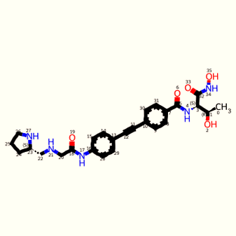 C[C@@H](O)[C@H](NC(=O)c1ccc(C#Cc2ccc(NC(=O)CNC[C@@H]3CCCN3)cc2)cc1)C(=O)NO